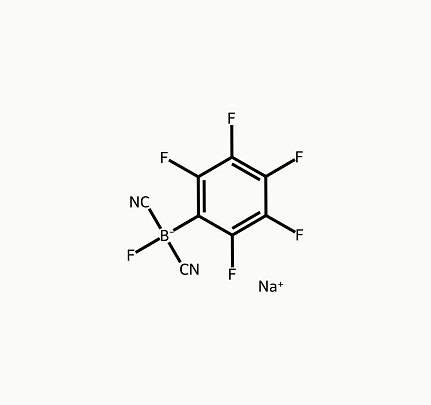 N#C[B-](F)(C#N)c1c(F)c(F)c(F)c(F)c1F.[Na+]